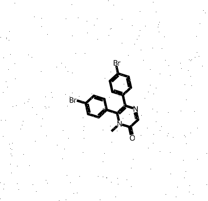 Cn1c(-c2ccc(Br)cc2)c(-c2ccc(Br)cc2)ncc1=O